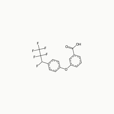 O=C(O)c1cccc(Oc2ccc(C(F)C(F)(F)C(F)(F)F)cc2)c1